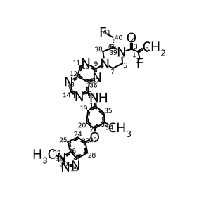 C=C(F)C(=O)N1CCN(c2ncc3ncnc(Nc4ccc(Oc5ccc6c(c5)nnn6C)c(C)c4)c3n2)C[C@@H]1CF